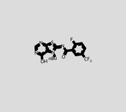 CCCCn1c(=NC(=O)c2cc(C(F)(F)F)ccc2F)sc2ncnc(O)c21